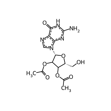 CC(=O)OC1C(OC(C)=O)[C@@H](CO)O[C@H]1n1cnc2c(=O)[nH]c(N)nc21